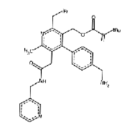 Cc1nc(CC(C)C)c(COC(=O)NC(C)(C)C)c(-c2ccc(CN)cc2)c1CC(=O)NCc1cccnc1